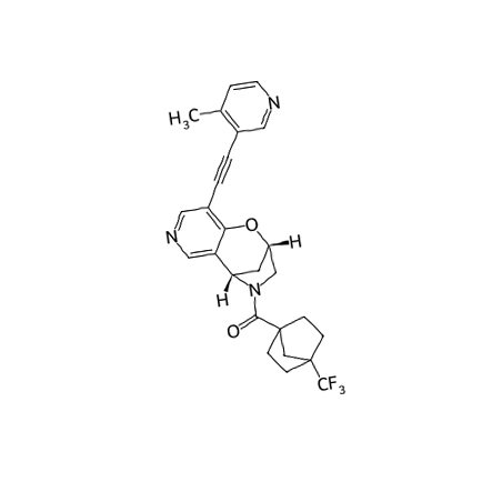 Cc1ccncc1C#Cc1cncc2c1O[C@H]1C[C@@H]2N(C(=O)C23CCC(C(F)(F)F)(CC2)C3)C1